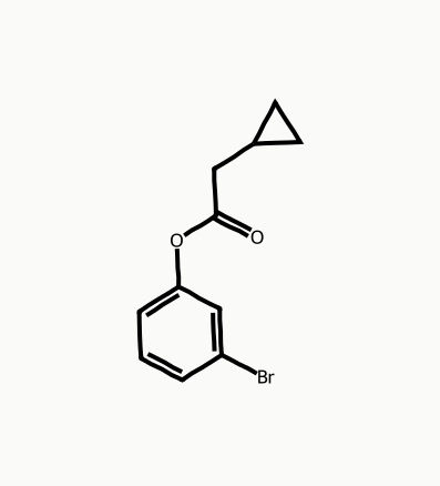 O=C(CC1CC1)Oc1cccc(Br)c1